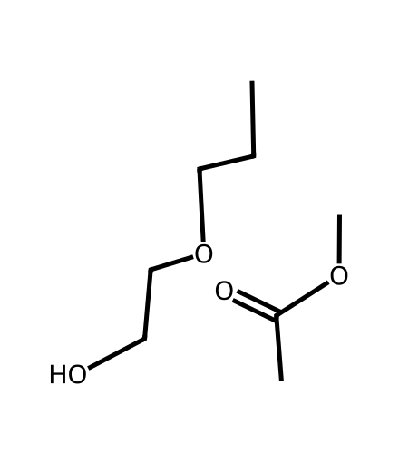 CCCOCCO.COC(C)=O